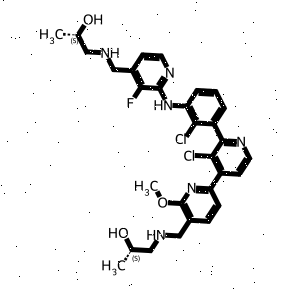 COc1nc(-c2ccnc(-c3cccc(Nc4nccc(CNC[C@H](C)O)c4F)c3Cl)c2Cl)ccc1CNC[C@H](C)O